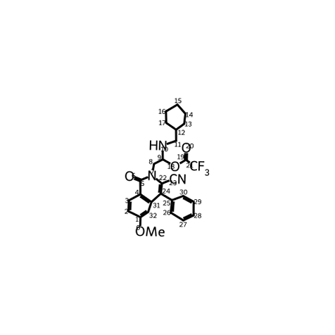 COc1ccc2c(=O)n(CC(NCC3CCCCC3)OC(=O)C(F)(F)F)c(C#N)c(-c3ccccc3)c2c1